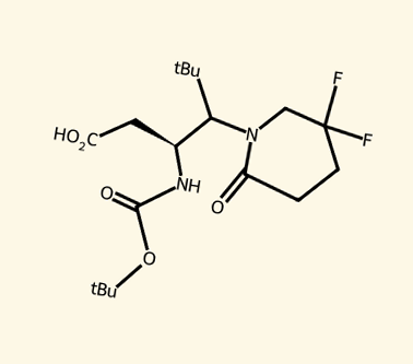 CC(C)(C)OC(=O)N[C@@H](CC(=O)O)C(N1CC(F)(F)CCC1=O)C(C)(C)C